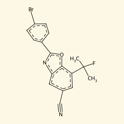 CC(C)(F)c1cc(C#N)cc2nc(-c3ccc(Br)cc3)oc12